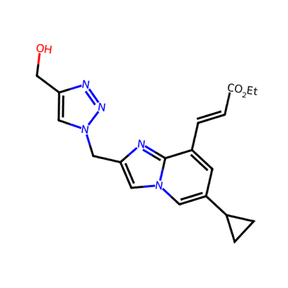 CCOC(=O)/C=C/c1cc(C2CC2)cn2cc(Cn3cc(CO)nn3)nc12